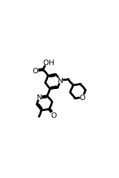 CC1=CN=C(C2=CN(CC3CCOCC3)C=C(C(=O)O)C2)CC1=O